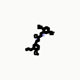 C=CCc1cc(/C=C/C(=O)/C=C/c2cc(Br)ccc2Br)ccc1OC